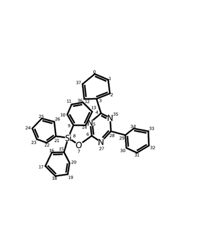 c1ccc(-c2nc(O[Si](c3ccccc3)(c3ccccc3)c3ccccc3)nc(-c3ccccc3)n2)cc1